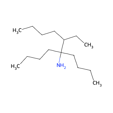 CCCCC(CC)C(N)(CCCC)CCCC